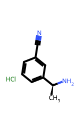 C[C@H](N)c1cccc(C#N)c1.Cl